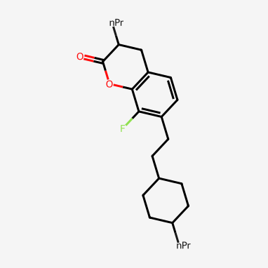 CCCC1CCC(CCc2ccc3c(c2F)OC(=O)C(CCC)C3)CC1